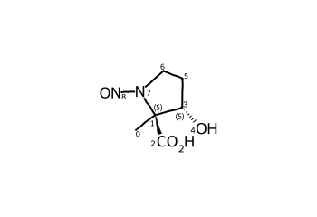 C[C@@]1(C(=O)O)[C@@H](O)CCN1N=O